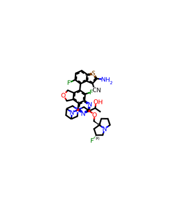 CC(O)CCN1CC2CC(C1)N2c1nc(OC[C@@]23CCCN2C[C@H](F)C3)nc2c(F)c(-c3c(F)ccc4sc(N)c(C#N)c34)c3c(c12)COC3